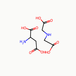 NC(CC(=O)O)C(=O)O.O=C(O)CNCC(=O)O